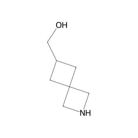 OCC1CC2(CNC2)C1